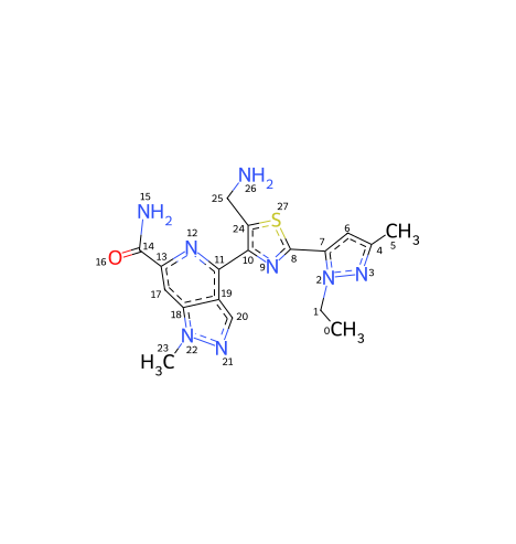 CCn1nc(C)cc1-c1nc(-c2nc(C(N)=O)cc3c2cnn3C)c(CN)s1